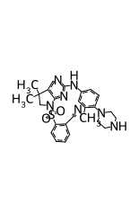 Cc1cc(Nc2ncc3c(n2)N(S(=O)(=O)c2ccccc2C#N)CC3(C)C)ccc1N1CCNCC1